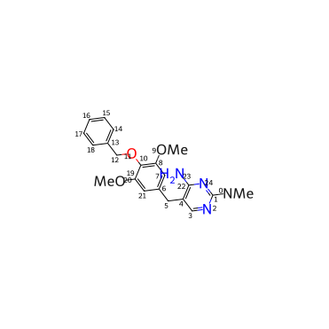 CNc1ncc(Cc2cc(OC)c(OCc3ccccc3)c(OC)c2)c(N)n1